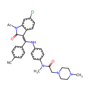 CC(=O)N1C(=O)C(=C(Nc2ccc(N(C)C(=O)CN3CCN(C)CC3)cc2)c2ccc(C#N)cc2)c2ccc(Cl)cc21